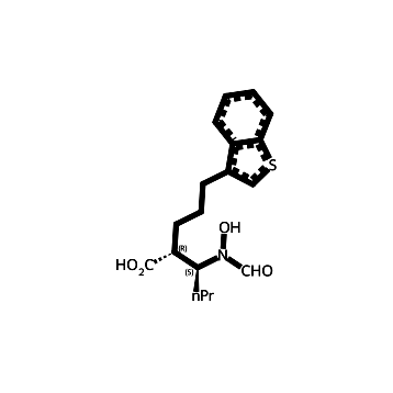 CCC[C@@H]([C@@H](CCCc1csc2ccccc12)C(=O)O)N(O)C=O